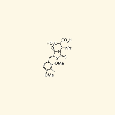 CCCC(C(C(=O)O)C(=O)O)N1C(=O)C(=Cc2ccc(OC)c(C)c2OC)SC1=S